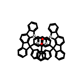 C1=C=CC(c2nc(-n3c4ccccc4c4ccc5c(c43)C(c3ccccc3)(c3ccccc3)c3ccccc3-5)cc(-n3c4ccccc4c4ccc5c(c43)C(c3ccccc3)(c3ccccc3)c3ccccc3-5)n2)=CC=1